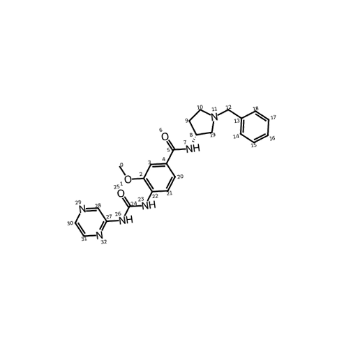 COc1cc(C(=O)N[C@@H]2CCN(Cc3ccccc3)C2)ccc1NC(=O)Nc1cnccn1